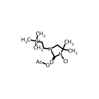 CC(=O)[O-].CC1(C)CN(CC[N+](C)(C)C)C(=O)N1Cl